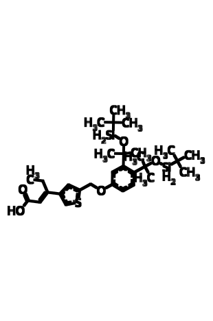 CCC(=CC(=O)O)c1csc(COc2ccc(C(C)(C)O[SiH2]C(C)(C)C)c(C(C)(C)O[SiH2]C(C)(C)C)c2)c1